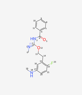 C/N=C(/NC(=O)c1ccccc1)OCCc1cc(NC)ccc1F